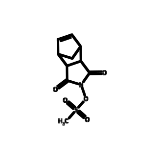 CS(=O)(=O)ON1C(=O)C2C3C=CC(C3)C2C1=O